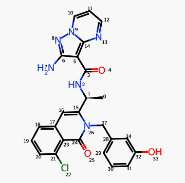 C[C@H](NC(=O)c1c(N)nn2cccnc12)c1cc2cccc(Cl)c2c(=O)n1Cc1cccc(O)c1